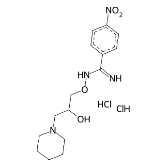 Cl.Cl.N=C(NOCC(O)CN1CCCCC1)c1ccc([N+](=O)[O-])cc1